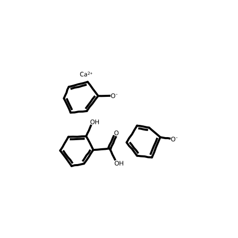 O=C(O)c1ccccc1O.[Ca+2].[O-]c1ccccc1.[O-]c1ccccc1